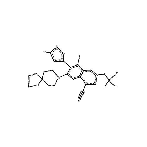 Cc1cc(-c2c(N3CCC4(CC3)OCCO4)nc3c(C#N)cc(CC(F)(F)F)cc3c2C)on1